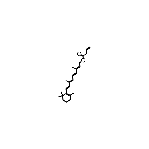 C=CCC(=O)OC/C=C(C)/C=C/C=C(C)/C=C/C1=C(C)CCCC1(C)C